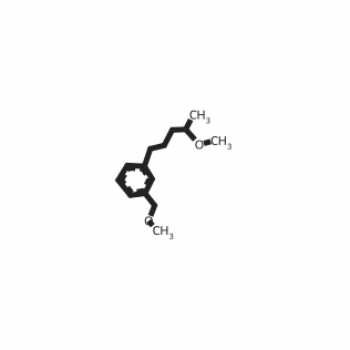 COCc1cccc(CCCC(C)OC)c1